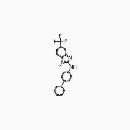 Cn1c(Nc2ccc(-c3ccccc3)cc2)nc2cc(C(F)(F)F)ccc21